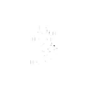 Cc1ccc(C2(c3nnc4c(C(C)(C)C(=O)N(C)C)cccn34)CCC2)cc1